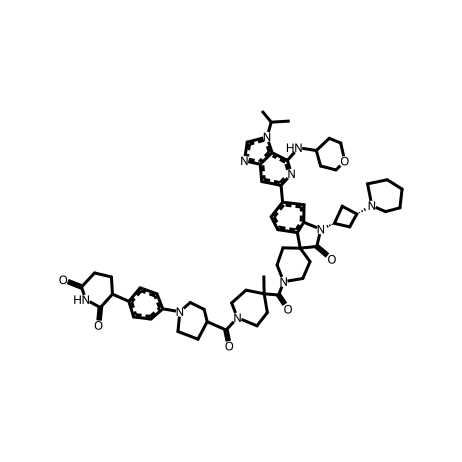 CC(C)n1cnc2cc(-c3ccc4c(c3)N([C@H]3C[C@@H](N5CCCCC5)C3)C(=O)C43CCN(C(=O)C4(C)CCN(C(=O)C5CCN(c6ccc(C7CCC(=O)NC7=O)cc6)CC5)CC4)CC3)nc(NC3CCOCC3)c21